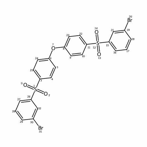 O=S(=O)(c1ccc(Oc2ccc(S(=O)(=O)c3cccc(Br)c3)cc2)cc1)c1cccc(Br)c1